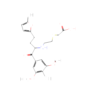 COc1cc(C(=O)C(CCc2ccc(C)o2)NCCSCC(=O)O)cc(OC)c1C